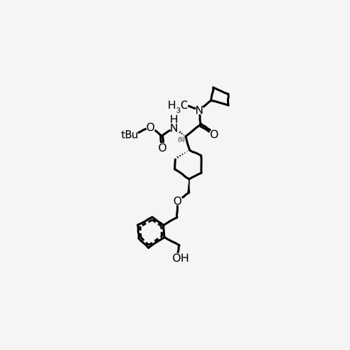 CN(C(=O)[C@@H](NC(=O)OC(C)(C)C)[C@H]1CC[C@H](COCc2ccccc2CO)CC1)C1CCC1